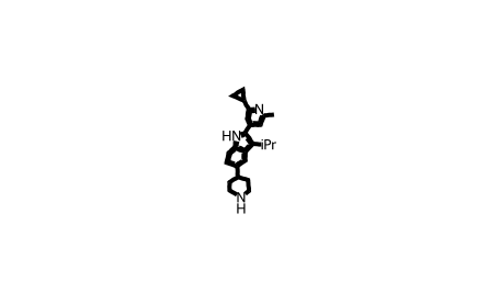 Cc1cc(-c2[nH]c3ccc(C4CCNCC4)cc3c2C(C)C)cc(C2CC2)n1